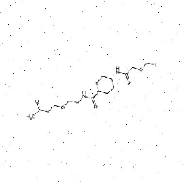 CC(=O)CCOCCNC(=O)[C@H]1CC[C@H](NC(=O)COCI)CC1